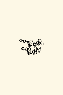 N#Cc1cc(Cl)cc(Oc2c(Cl)ccc(Cc3nnc(-c4cc(-c5ccc(Cl)cc5)oc4C(F)(F)F)o3)c2F)c1.N#Cc1cc(Cl)cc(Oc2c(Cl)ccc(Cc3nnc(-c4cc(-c5ccccc5)oc4C(F)(F)F)o3)c2F)c1